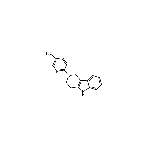 FC(F)(F)c1ccc(N2CCc3[nH]c4ccccc4c3C2)nc1